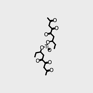 CCC(CC(=O)C(=O)CC(C)=O)[O][Ti](=[O])[O]C(CC)CC(=O)C(=O)CC(C)=O